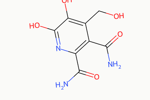 NC(=O)c1nc(O)c(O)c(CO)c1C(N)=O